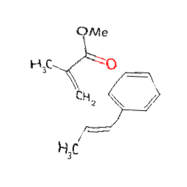 C=C(C)C(=O)OC.CC=Cc1ccccc1